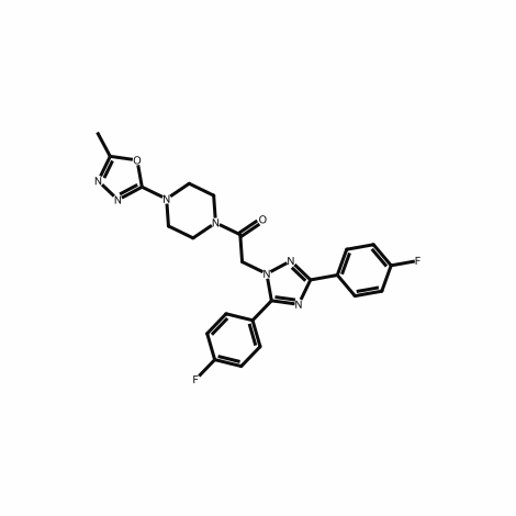 Cc1nnc(N2CCN(C(=O)Cn3nc(-c4ccc(F)cc4)nc3-c3ccc(F)cc3)CC2)o1